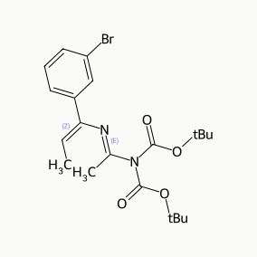 C/C=C(\N=C(/C)N(C(=O)OC(C)(C)C)C(=O)OC(C)(C)C)c1cccc(Br)c1